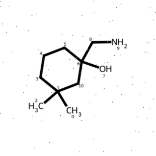 CC1(C)CCCC(O)(CN)C1